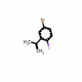 C=C(C)c1cc(Br)ccc1I